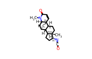 CN1C(=O)C=C[C@]2(C)[C@H]3CC[C@]4(C)[C@@H](N=C=O)CC[C@H]4[C@@H]3CC[C@@H]12